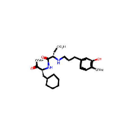 COC(=O)[C@H](CC1CCCCC1)NC(=O)[C@H](CC(=O)O)NCCCc1ccc(OC)c(O)c1